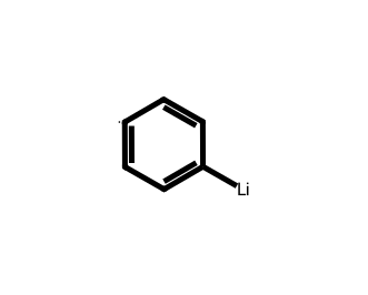 [Li][c]1cc[c]cc1